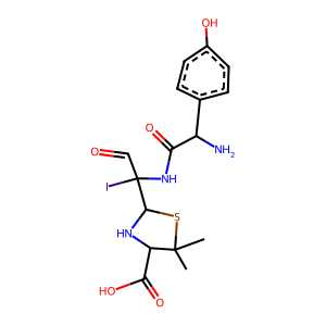 CC1(C)SC(C(I)(C=O)NC(=O)C(N)c2ccc(O)cc2)NC1C(=O)O